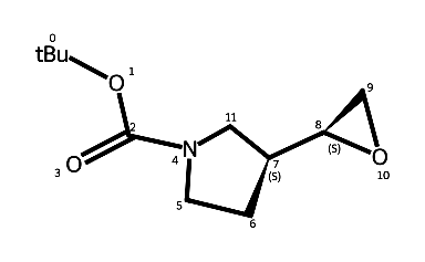 CC(C)(C)OC(=O)N1CC[C@H]([C@H]2CO2)C1